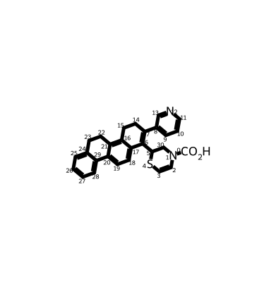 O=C(O)N1C=CSC(C2=C(c3cccnc3)CCc3c2ccc2c3CCc3ccccc3-2)C1